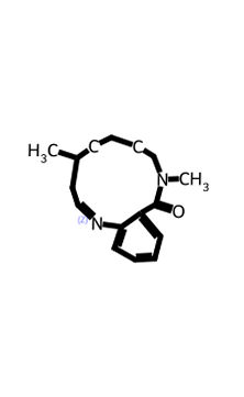 CC1C/C=N\c2ccccc2C(=O)N(C)CCCC1